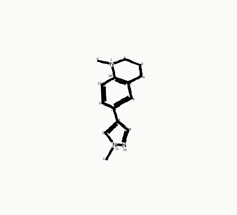 CN1CCCc2cc(-c3cnn(C)c3)ccc21